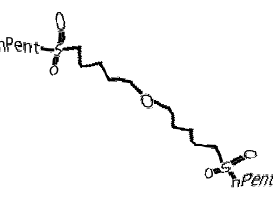 CCCCCS(=O)(=O)CCCCCOCCCCCS(=O)(=O)CCCCC